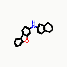 c1ccc2c(c1)oc1cc(Nc3ccc4c(c3)CCCC4)ccc12